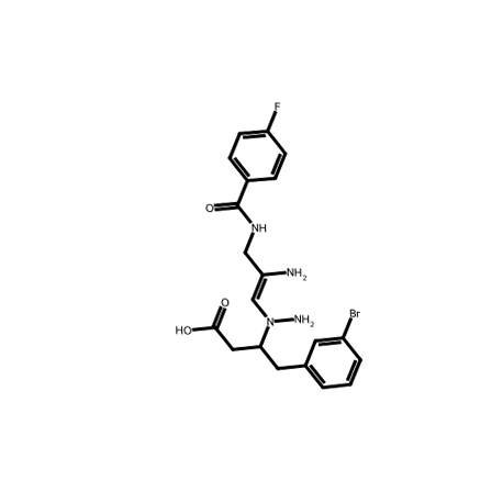 N/C(=C\N(N)C(CC(=O)O)Cc1cccc(Br)c1)CNC(=O)c1ccc(F)cc1